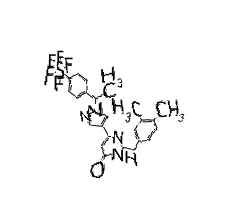 Cc1ccc(Cc2nc(-c3cnn(C(C)c4ccc(S(F)(F)(F)(F)F)cc4)c3)cc(=O)[nH]2)cc1C